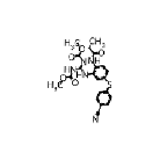 CCC(=O)Nc1ccc(Sc2ccc(C#N)cc2)cc1NC(=NC(=O)OC)NC(=O)OC